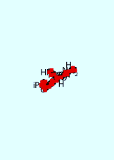 CC(C)c1ccccc1[C@@H]1COCCN1C1CCC2(CC1)CCN(c1ccc(C(=O)NS(=O)(=O)c3cnc(NC[C@H]4CC[C@@H](C)CC4)c([N+](=O)[O-])c3)c(Oc3cnc4[nH]ccc4c3)c1)CC2